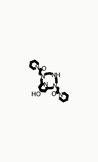 O=C(CN1CCNCCN(CC(=O)N2CCCCC2)Cc2cc(O)cc(n2)C1)N1CCCCC1